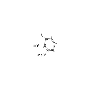 [CH2]c1cccc(OC)c1O